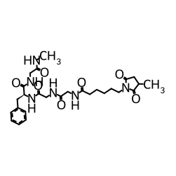 CNC(=O)CNC(=O)[C@H](Cc1ccccc1)NC(=O)CNC(=O)CNC(=O)CCCCCN1C(=O)CC(C)C1=O